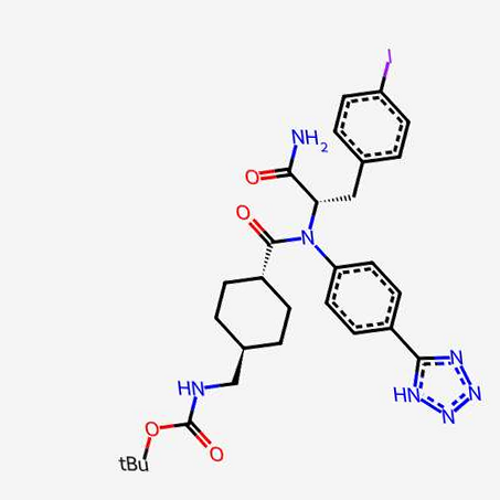 CC(C)(C)OC(=O)NC[C@H]1CC[C@H](C(=O)N(c2ccc(-c3nnn[nH]3)cc2)[C@@H](Cc2ccc(I)cc2)C(N)=O)CC1